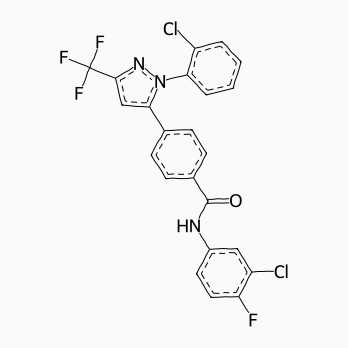 O=C(Nc1ccc(F)c(Cl)c1)c1ccc(-c2cc(C(F)(F)F)nn2-c2ccccc2Cl)cc1